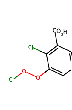 O=C(O)c1cccc(OOCl)c1Cl